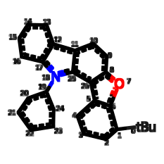 CC(C)(C)c1cccc2c1oc1ccc3c4ccccc4n(-c4ccccc4)c3c12